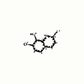 Oc1c(Cl)ccc2ccc(I)nc12